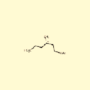 CC(=O)OCC[C@@H](C)CCC(=O)O